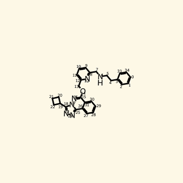 c1ccc(CCNCc2cccc(COc3nn4c(C5CCC5)nnc4c4ccccc34)n2)cc1